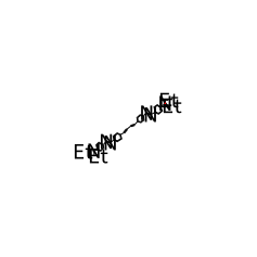 CCN(CC)c1ccc(N=Nc2ccc(C#CC#Cc3ccc(N=Nc4ccc(N(CC)CC)cc4)cc3)cc2)cc1